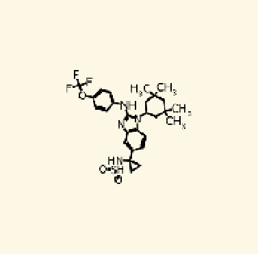 CC1(C)CC(n2c(Nc3ccc(OC(F)(F)F)cc3)nc3cc(C4(N[SH](=O)=O)CC4)ccc32)CC(C)(C)C1